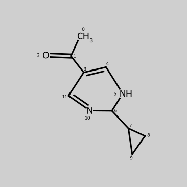 CC(=O)C1=CNC(C2CC2)N=C1